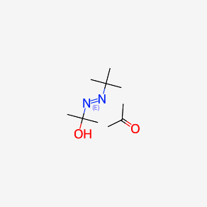 CC(C)(C)/N=N/C(C)(C)O.CC(C)=O